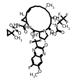 COc1cc2nc(O[C@@H]3C[C@H]4C(=O)N[C@]5(C(=O)NS(=O)(=O)C6(C)CC6)C[C@H]5C=CCC[C@H](C)C[C@@H](C)[C@H](N(C(=O)O)C(C)(C)C(F)(F)F)C(=O)N4C3)c(C(F)(F)F)nc2cc1F